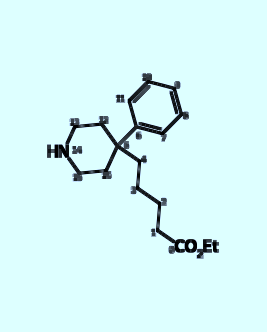 CCOC(=O)CCCCC1(c2ccccc2)CCNCC1